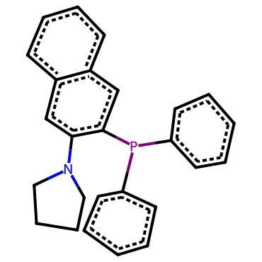 c1ccc(P(c2ccccc2)c2cc3ccccc3cc2N2CCCC2)cc1